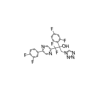 OC(Cn1cnnn1)(c1ccc(F)cc1F)C(F)(F)c1cnc(-c2ccc(F)c(F)c2)cn1